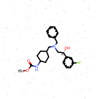 CC(C)(C)OC(=O)NC1CCC(CN(Cc2ccccc2)C[C@H](O)c2cccc(F)c2)CC1